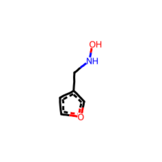 ONCc1ccoc1